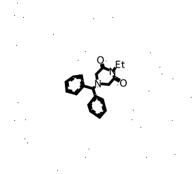 CCN1C(=O)CN(C(c2ccccc2)c2ccccc2)CC1=O